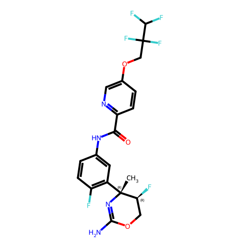 C[C@]1(c2cc(NC(=O)c3ccc(OCC(F)(F)C(F)F)cn3)ccc2F)N=C(N)OC[C@@H]1F